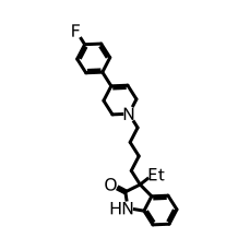 CCC1(CCCCN2CC=C(c3ccc(F)cc3)CC2)C(=O)Nc2ccccc21